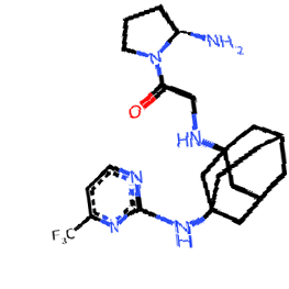 N[C@@H]1CCCN1C(=O)CNC12CC3CC(C1)CC(Nc1nccc(C(F)(F)F)n1)(C3)C2